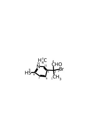 C.CC(Br)(C=O)c1ccc(S)nc1